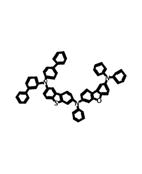 c1ccc(-c2ccc(N(c3cccc(-c4ccccc4)c3)c3ccc4sc5cc(N(c6ccccc6)c6ccc7c(c6)oc6ccc(N(c8ccccc8)c8ccccc8)cc67)ccc5c4c3)cc2)cc1